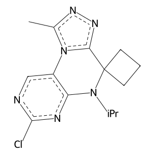 Cc1nnc2n1-c1cnc(Cl)nc1N(C(C)C)C21CCC1